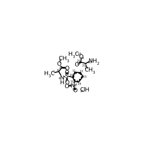 COC(=O)C(C)NS(=O)(=O)c1ccccc1[N+](=O)[O-].COC(=O)[C@H](C)N.Cl